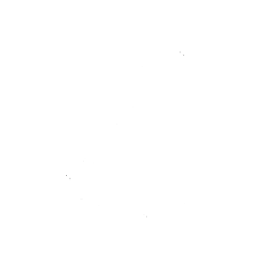 CC(C)NC(=O)c1ccccc1C1=c2cc3c4c(c2Oc2c1cc1c5c2CCCN5CCC1)CCC[N+]=4CCC3